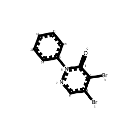 O=c1c(Br)c(Br)cnn1-c1ccccc1